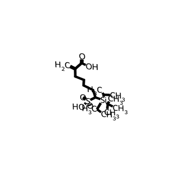 C=C(CCCCC([Si](C(C)C)(C(C)C)C(C)(C)C)S(=O)(=O)O)C(=O)O